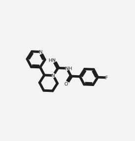 N=C(NC(=O)c1ccc(F)cc1)N1CCCCC1c1cccnc1